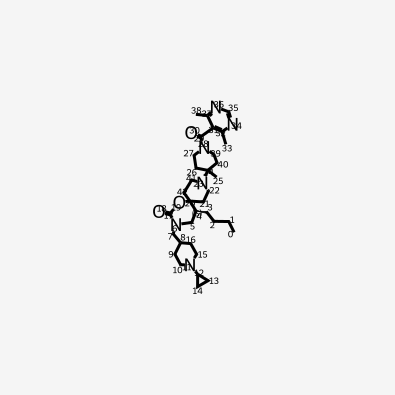 CCCC[C@H]1CN(CC2CCN(C3CC3)CC2)C(=O)OC12CCN(C1(C)CCN(C(=O)c3c(C)ncnc3C)CC1)CC2